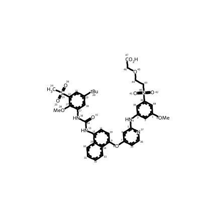 COc1cc(Nc2cc(Oc3ccc(NC(=O)Nc4cc(C(C)(C)C)cc(S(C)(=O)=O)c4OC)c4ccccc34)ccn2)cc(S(=O)(=O)CCOCC(=O)O)c1